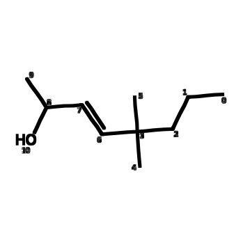 CCCC(C)(C)/C=C/C(C)O